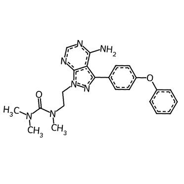 CN(C)C(=O)N(C)CCn1nc(-c2ccc(Oc3ccccc3)cc2)c2c(N)ncnc21